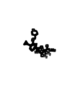 CNC(=O)C(C)(C)C(C)NC(=O)c1ccc(C2CC2)c(OCC2CCOCC2)n1